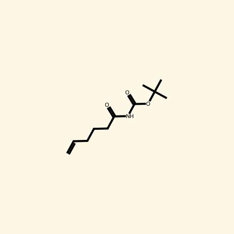 C=CCCCC(=O)NC(=O)OC(C)(C)C